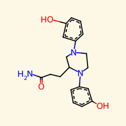 NC(=O)CCC1CN(c2cccc(O)c2)CCN1c1cccc(O)c1